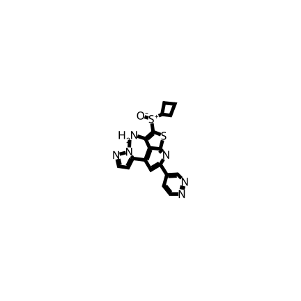 Cn1nccc1-c1cc(-c2ccnnc2)nc2sc([S+]([O-])C3CCC3)c(N)c12